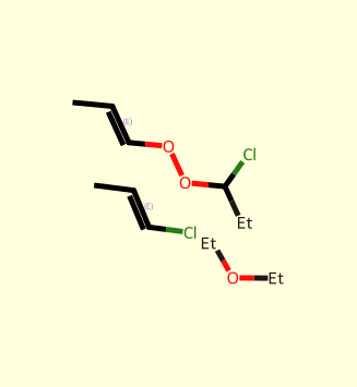 C/C=C/Cl.C/C=C/OOC(Cl)CC.CCOCC